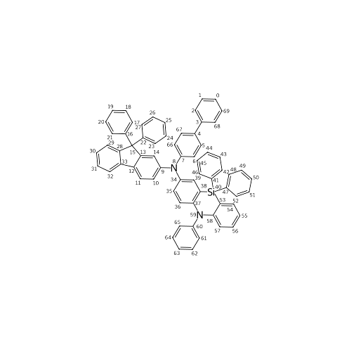 c1ccc(-c2ccc(N(c3ccc4c(c3)C(c3ccccc3)(c3ccccc3)c3ccccc3-4)c3ccc4c(c3)[Si](c3ccccc3)(c3ccccc3)c3ccccc3N4c3ccccc3)cc2)cc1